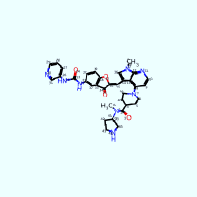 CN(C(=O)C1CCN(c2ccnc3c2c(C=C2Oc4ccc(NC(=O)Nc5cccnc5)cc4C2=O)cn3C)CC1)[C@@H]1CCNC1